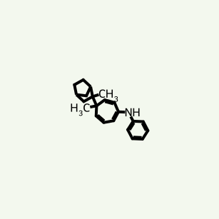 CC1(C2(C)CC3CCC2C3)C=CC=C(Nc2ccccc2)C=C1